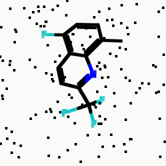 Cc1ccc(F)c2ccc(C(F)(F)F)nc12